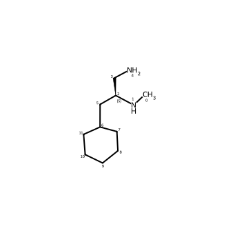 CN[C@H](CN)CC1CCCCC1